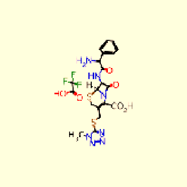 Cn1nnnc1SCC1=C(C(=O)O)N2C(=O)C(NC(=O)C(N)c3ccccc3)[C@@H]2SC1.O=C(O)C(F)(F)F